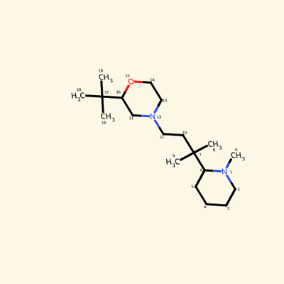 CN1CCCCC1C(C)(C)CCN1CCOC(C(C)(C)C)C1